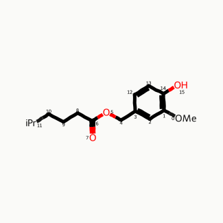 COc1cc(COC(=O)CCCC(C)C)ccc1O